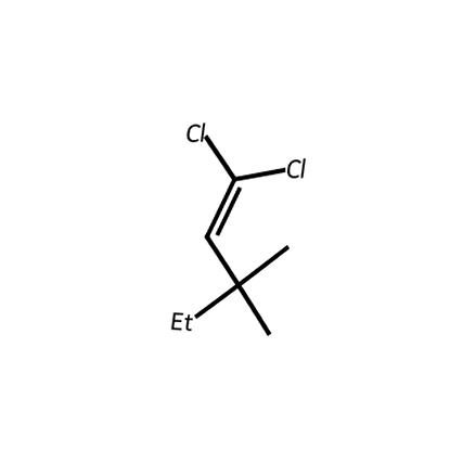 CCC(C)(C)C=C(Cl)Cl